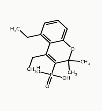 CCC1=C(P(=O)(O)O)C(C)(C)Oc2cccc(CC)c21